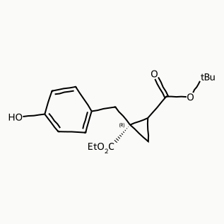 CCOC(=O)[C@@]1(Cc2ccc(O)cc2)CC1C(=O)OC(C)(C)C